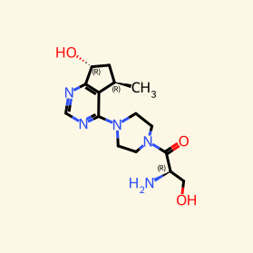 C[C@@H]1C[C@@H](O)c2ncnc(N3CCN(C(=O)[C@H](N)CO)CC3)c21